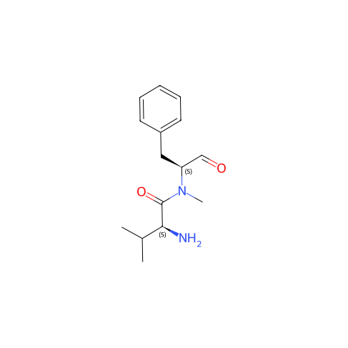 CC(C)[C@H](N)C(=O)N(C)[C@H](C=O)Cc1ccccc1